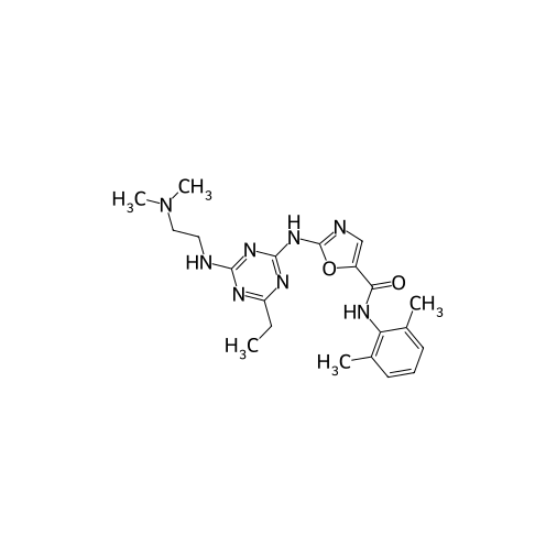 CCc1nc(NCCN(C)C)nc(Nc2ncc(C(=O)Nc3c(C)cccc3C)o2)n1